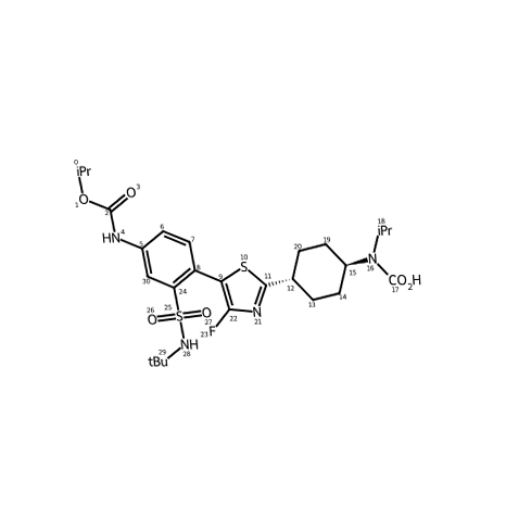 CC(C)OC(=O)Nc1ccc(-c2sc([C@H]3CC[C@H](N(C(=O)O)C(C)C)CC3)nc2F)c(S(=O)(=O)NC(C)(C)C)c1